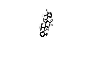 CN(C)C(=O)c1c(-c2cccc(F)c2Cl)noc1-c1cnn(-c2ccccc2F)c1C(F)(F)F